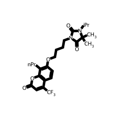 CCCc1c(OCCCCN2C(=O)N(C(C)C)C(C)(C)C2=O)ccc2c(C(F)(F)F)cc(=O)oc12